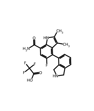 Cc1[nH]c2c(C(N)=O)cc(F)c(-c3cccc4c3CNC4)c2c1C.O=C(O)C(F)(F)F